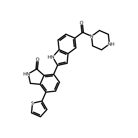 O=C1NCc2c(-c3cccs3)ccc(-c3cc4cc(C(=O)N5CCNCC5)ccc4[nH]3)c21